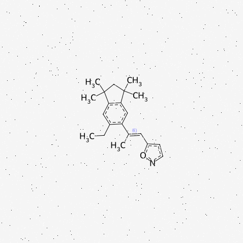 CCc1cc2c(cc1/C(C)=C/c1ccno1)C(C)(C)CC2(C)C